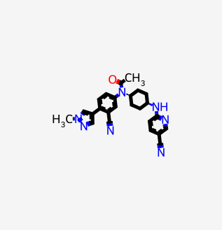 CC(=O)N(c1ccc(-c2cnn(C)c2)c(C#N)c1)[C@H]1CC[C@H](Nc2ccc(C#N)cn2)CC1